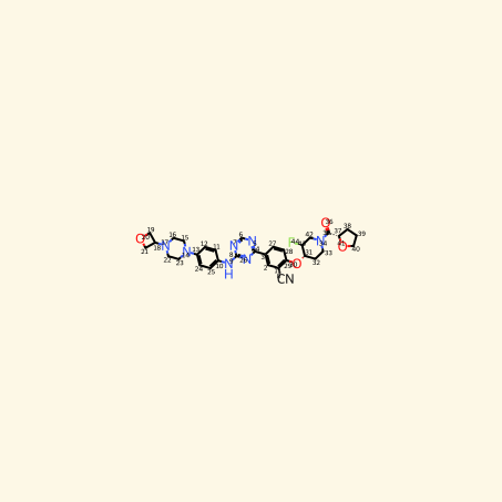 N#Cc1cc(-c2ncnc(Nc3ccc(N4CCN(C5COC5)CC4)cc3)n2)ccc1O[C@H]1CCN(C(=O)[C@@H]2CCCO2)C[C@@H]1F